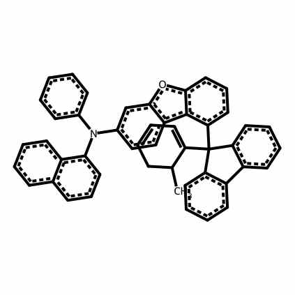 CC1CC=CC=C1C1(c2cccc3oc4cc(N(c5ccccc5)c5cccc6ccccc56)ccc4c23)c2ccccc2-c2ccccc21